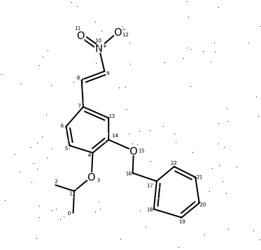 CC(C)Oc1ccc(/C=C/[N+](=O)[O-])cc1OCc1ccccc1